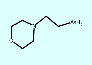 [AsH2]CCN1CCOCC1